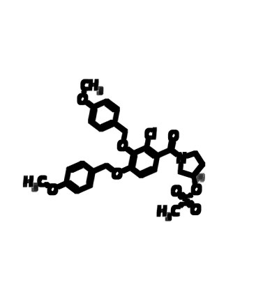 COc1ccc(COc2ccc(C(=O)N3CC[C@@H](OS(C)(=O)=O)C3)c(Cl)c2OCc2ccc(OC)cc2)cc1